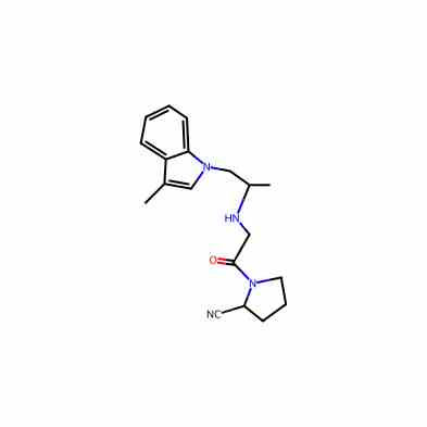 Cc1cn(CC(C)NCC(=O)N2CCCC2C#N)c2ccccc12